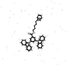 O=C(OCCCCCC1CC2C=CC1C2)c1cc(-n2c3c(c4ccccc42)C=CCC3)cc(-n2c3ccccc3c3ccccc32)c1